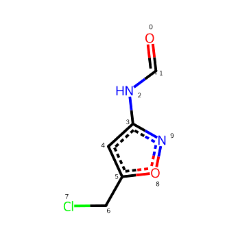 O=[C]Nc1cc(CCl)on1